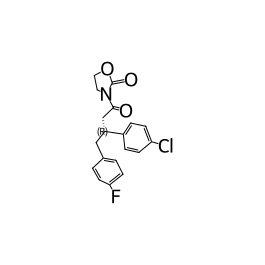 O=C(C[C@@H](Cc1ccc(F)cc1)c1ccc(Cl)cc1)N1CCOC1=O